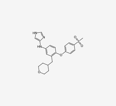 CS(=O)(=O)c1ccc(Oc2ccc(Nc3c[nH]cn3)cc2CC2CCOCC2)cc1